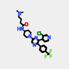 CN(C)CCCC(=O)NC1CCN(c2cnc(-c3ccc(C(F)(F)F)cc3)c(-c3ccncc3Cl)n2)CC1